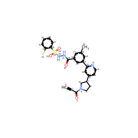 C#CC(=O)N1CCC(c2ccnc(-c3cc(C)cc(C(=O)NNS(=O)(=O)c4ccccc4F)c3)c2)C1